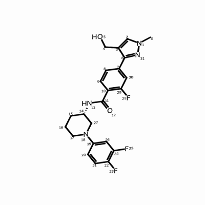 Cn1cc(CO)c(-c2ccc(C(=O)N[C@H]3CCCN(c4ccc(F)c(F)c4)C3)c(F)c2)n1